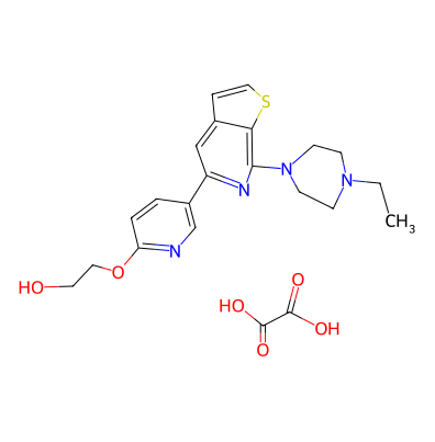 CCN1CCN(c2nc(-c3ccc(OCCO)nc3)cc3ccsc23)CC1.O=C(O)C(=O)O